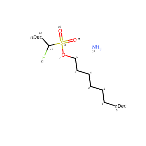 CCCCCCCCCCCCCCCCOS(=O)(=O)C(F)CCCCCCCCCC.N